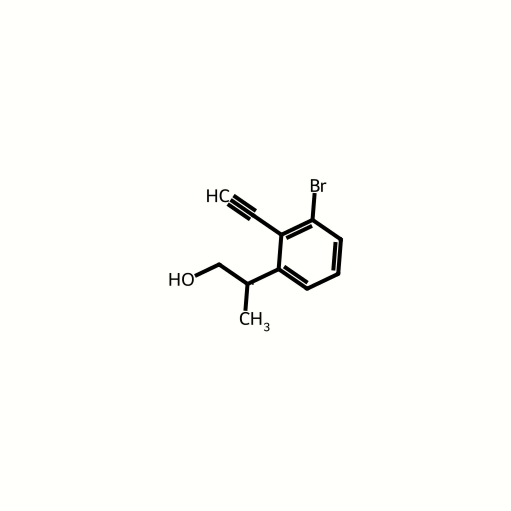 C#Cc1c(Br)cccc1[C](C)CO